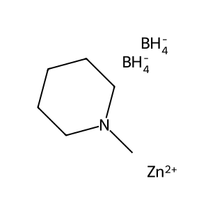 CN1CCCCC1.[BH4-].[BH4-].[Zn+2]